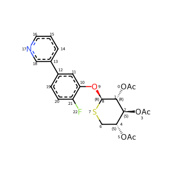 CC(=O)O[C@@H]1[C@@H](OC(C)=O)[C@H](OC(C)=O)CS[C@H]1Oc1cc(-c2cccnc2)ccc1F